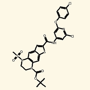 CC(C)(C)OC(=O)N1CCN(S(C)(=O)=O)c2cc3cc(C(=O)Nc4cc(Cl)nc(Oc5ccc(Cl)cc5)c4)sc3cc21